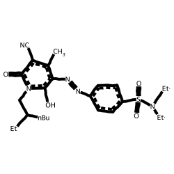 [CH2][CH]N([CH][CH2])S(=O)(=O)c1ccc(/N=N/c2c(C)c(C#N)c(=O)n(CC(CC)CCCC)c2O)cc1